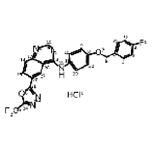 Cl.Fc1ccc(COc2ccc(Nc3ncnc4ccc(-c5nnc(C(F)(F)F)o5)cc34)cc2)cc1